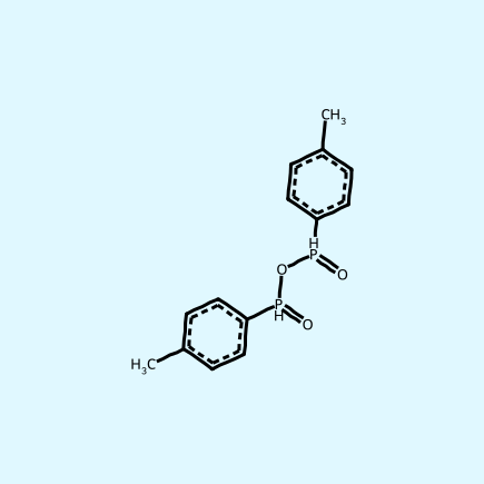 Cc1ccc([PH](=O)O[PH](=O)c2ccc(C)cc2)cc1